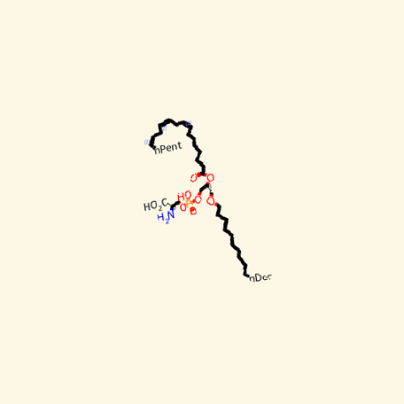 CCCCC/C=C\C/C=C\C/C=C\CCCCCCC(=O)O[C@H](COCCCCCCCCCCCCCCCCCCCC)COP(=O)(O)OC[C@H](N)C(=O)O